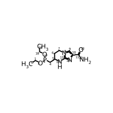 CCOP(CC1CCn2cc(C(N)=O)nc2N1)OCC